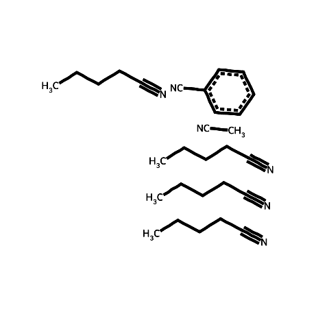 CC#N.CCCCC#N.CCCCC#N.CCCCC#N.CCCCC#N.N#Cc1ccccc1